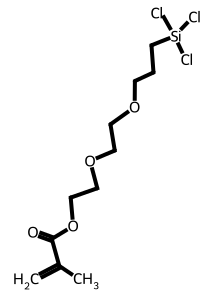 C=C(C)C(=O)OCCOCCOCCC[Si](Cl)(Cl)Cl